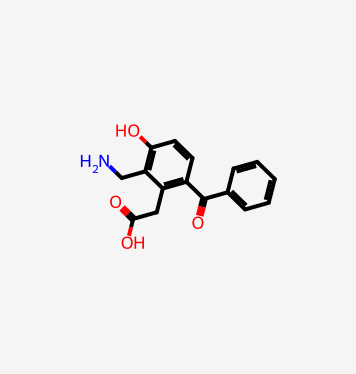 NCc1c(O)ccc(C(=O)c2ccccc2)c1CC(=O)O